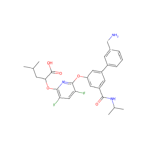 CC(C)CC(Oc1nc(Oc2cc(C(=O)NC(C)C)cc(-c3cccc(CN)c3)c2)c(F)cc1F)C(=O)O